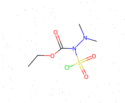 CCOC(=O)N(N(C)C)S(=O)(=O)Cl